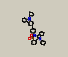 O=S1(=O)c2ccccc2-c2c(c3ccccc3n2-c2ccccc2)N1c1ccc(-c2ccc3c(c2)c2ccccc2n3-c2ccccc2)cc1